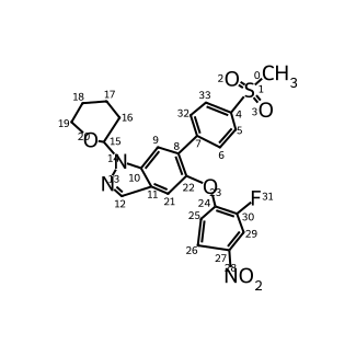 CS(=O)(=O)c1ccc(-c2cc3c(cnn3C3CCCCO3)cc2Oc2ccc([N+](=O)[O-])cc2F)cc1